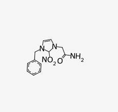 NC(=O)CN1C=CN(Cc2ccccc2)C1[N+](=O)[O-]